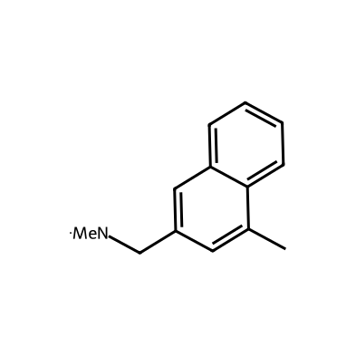 C[N]Cc1cc(C)c2ccccc2c1